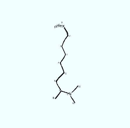 CCCCCCCCCCCCC(C)N(C)C